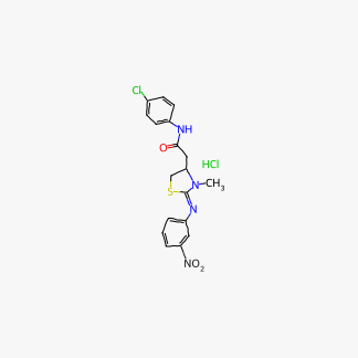 CN1/C(=N/c2cccc([N+](=O)[O-])c2)SCC1CC(=O)Nc1ccc(Cl)cc1.Cl